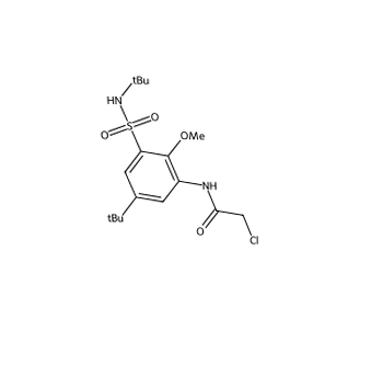 COc1c(NC(=O)CCl)cc(C(C)(C)C)cc1S(=O)(=O)NC(C)(C)C